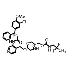 COc1ccc([C@H](CC(=O)Nc2cnccc2CC[C@@H]2CN[C@H](COC(=O)NCC(C)(F)F)CO2)c2ccccc2)cc1Cl